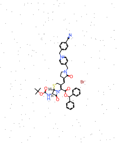 CC(C)(C)OC(=O)N[C@@H]1C(=O)N2C(C(=O)OC(c3ccccc3)c3ccccc3)=C(C=C3CCN(Cc4cc[n+](Cc5ccc(C#N)cc5)cc4)C3=O)CS[C@H]12.[Br-]